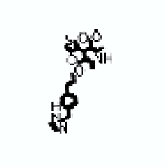 COC(=O)C1=C(C)NC(C)=C(C(=O)OCC=Cc2ccc(Cc3ncc[nH]3)cc2)C1c1ccsc1